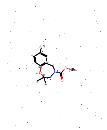 CC(C)(C)OC(=O)N1Cc2cc(C#N)ccc2OC(C)(C)C1